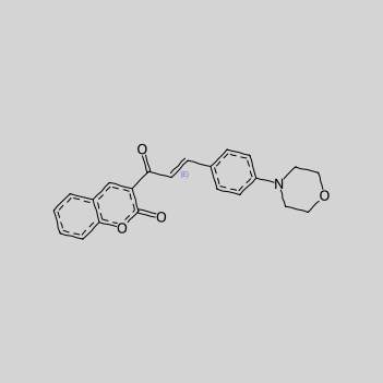 O=C(/C=C/c1ccc(N2CCOCC2)cc1)c1cc2ccccc2oc1=O